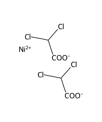 O=C([O-])C(Cl)Cl.O=C([O-])C(Cl)Cl.[Ni+2]